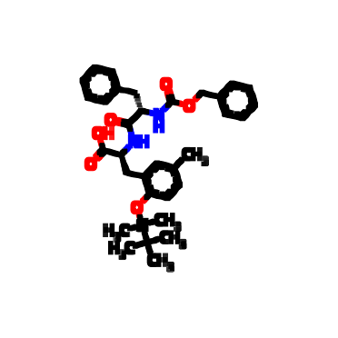 Cc1ccc(O[Si](C)(C)C(C)(C)C)c(C[C@H](NC(=O)[C@H](Cc2ccccc2)NC(=O)OCc2ccccc2)C(=O)O)c1